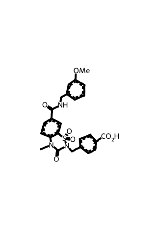 COc1cccc(CNC(=O)c2ccc3c(c2)S(=O)(=O)N(Cc2ccc(C(=O)O)cc2)C(=O)N3C)c1